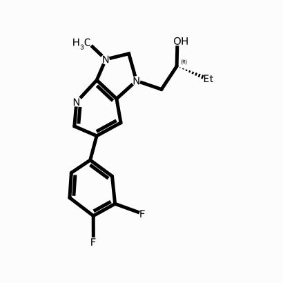 CC[C@@H](O)CN1CN(C)c2ncc(-c3ccc(F)c(F)c3)cc21